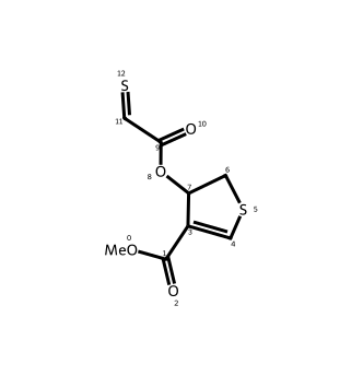 COC(=O)C1=CSCC1OC(=O)C=S